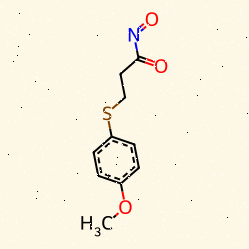 COc1ccc(SCCC(=O)N=O)cc1